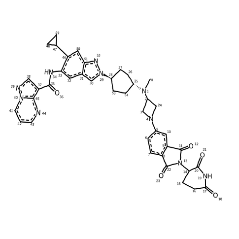 CN(C1CN(c2ccc3c(c2)C(=O)N(C2CCC(=O)NC2=O)C3=O)C1)[C@H]1CC[C@H](n2cc3cc(NC(=O)c4cnn5cccnc45)c(C4CC4)cc3n2)CC1